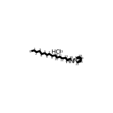 CCCCCCCCCCCCCCCCN[n+]1ccccc1.Cl